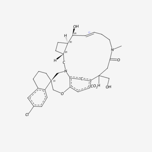 CN1CC/C=C/[C@H](O)[C@@H]2CC[C@H]2CN2C[C@@]3(CCCc4cc(Cl)ccc43)COc3ccc(cc32)C(CO)(C(=O)O)CC1=O